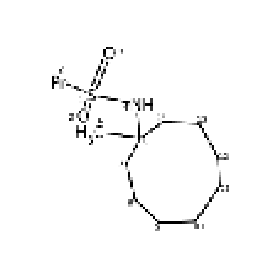 CC(C)S(=O)(=O)NC1(C)CCCCCCCC1